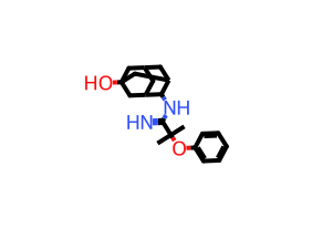 CC(C)(Oc1ccccc1)C(=N)NC1C2CC3CC1CC(O)(C3)C2